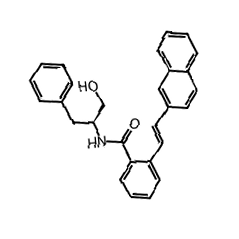 O=C(N[C@H](CO)Cc1ccccc1)c1ccccc1/C=C/c1ccc2ccccc2c1